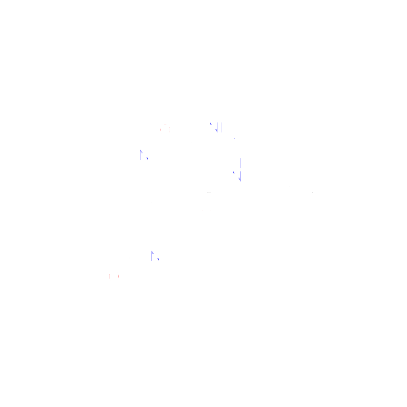 COc1ccc(-c2noc(N)c2C(=O)NCC2CC2)cn1